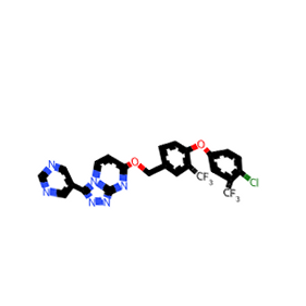 FC(F)(F)c1cc(Oc2ccc(COc3ccn4c(-c5cncnc5)nnc4n3)cc2C(F)(F)F)ccc1Cl